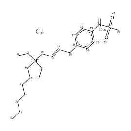 CCCCCCC[N+](CC)(CC)CC=CCc1ccc(NS(C)(=O)=O)cc1.[Cl-]